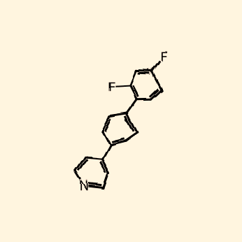 Fc1ccc(-c2ccc(-c3ccncc3)cc2)c(F)c1